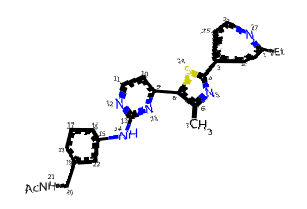 CCc1cc(-c2nc(C)c(-c3ccnc(Nc4cccc(CNC(C)=O)c4)n3)s2)ccn1